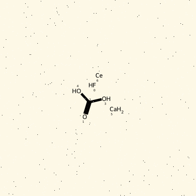 F.O=C(O)O.[CaH2].[Ce]